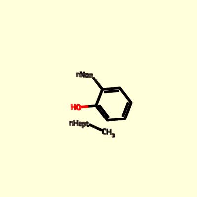 CCCCCCCC.CCCCCCCCCc1ccccc1O